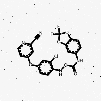 N#Cc1cc(Oc2ccc(NOC(=O)Nc3ccc4c(c3)OC(F)(F)O4)c(Cl)c2)ccn1